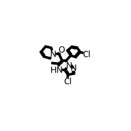 CC1=C(C(=O)N2CC=CCC2)C(c2cccc(Cl)c2)n2ncc(Cl)c2N1